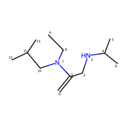 C=C(CNC(C)C)N(CC)CC(C)C